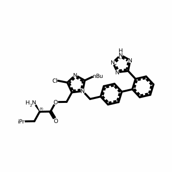 CCCCc1nc(Cl)c(COC(=O)[C@H](N)CC(C)C)n1Cc1ccc(-c2ccccc2-c2nn[nH]n2)cc1